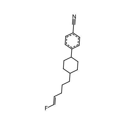 N#Cc1ccc(C2CCC(CCCC=CF)CC2)cc1